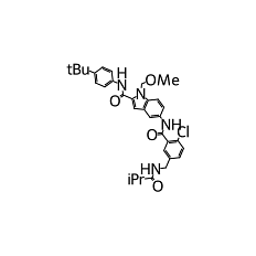 COCn1c(C(=O)Nc2ccc(C(C)(C)C)cc2)cc2cc(NC(=O)c3cc(CNC(=O)C(C)C)ccc3Cl)ccc21